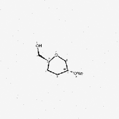 CO[C@@H]1CC[C@@H](CO)OC1